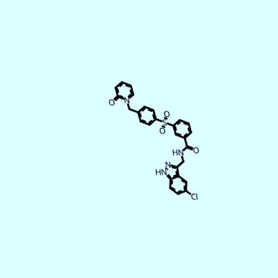 O=C(NCc1n[nH]c2ccc(Cl)cc12)c1cccc(S(=O)(=O)c2ccc(Cn3ccccc3=O)cc2)c1